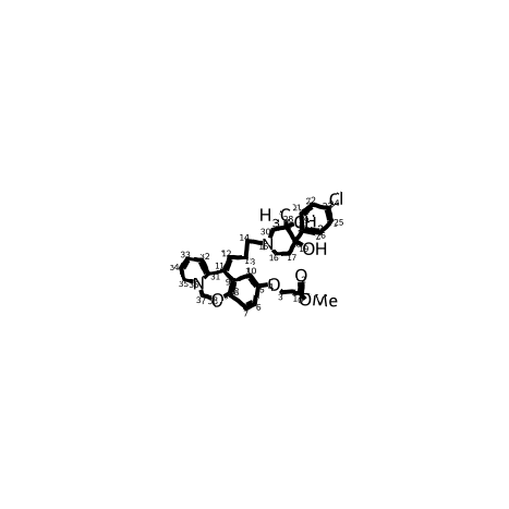 COC(=O)COc1ccc2c(c1)C(=CCCN1CCC(O)(c3ccc(Cl)cc3)C(C)(C)C1)C1=CC=CCN1CO2